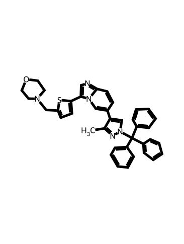 Cc1nn(C(c2ccccc2)(c2ccccc2)c2ccccc2)cc1-c1ccc2ncc(-c3ccc(CN4CCOCC4)s3)n2c1